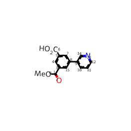 COC(=O)c1cc(C(=O)O)cc(-c2cccnc2)c1